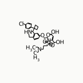 CCN(CC)CCCS(=O)(=O)N(CCOc1ccc2c(c1)C(C1(c3ccc(Cl)cc3)CCC1)NCC2)/C(=C\C(=O)O)C(=O)O